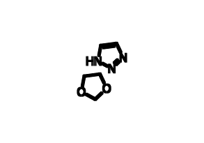 C1COCO1.c1c[nH]nn1